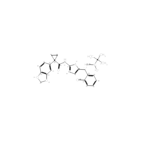 CC(C)(C)[S+]([O-])N[C@@H](c1cnc(NC(=O)C2(c3ccc4c(c3)OCO4)CC2)s1)c1ccccc1Cl